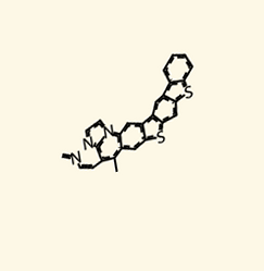 C=N/C=C\c1c(C)c2cc3sc4cc5sc6ccccc6c5cc4c3cc2n2ccnc12